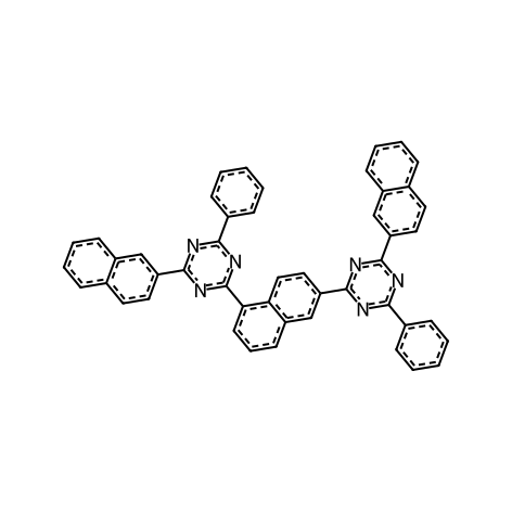 c1ccc(-c2nc(-c3ccc4ccccc4c3)nc(-c3ccc4c(-c5nc(-c6ccccc6)nc(-c6ccc7ccccc7c6)n5)cccc4c3)n2)cc1